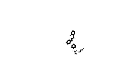 CCCCN1CC[C@@H](Nc2ccc(Oc3c(C(=O)c4ccc(F)cc4C)sc4cc(O)ccc34)cc2)C1